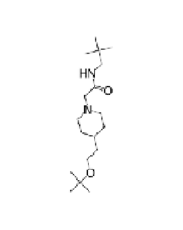 CC(C)(C)CNC(=O)CN1CCC(CCOC(C)(C)C)CC1